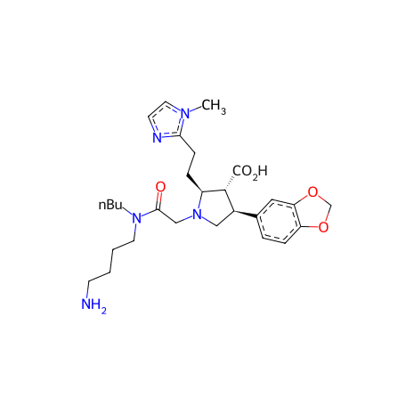 CCCCN(CCCCN)C(=O)CN1C[C@H](c2ccc3c(c2)OCO3)[C@@H](C(=O)O)[C@@H]1CCc1nccn1C